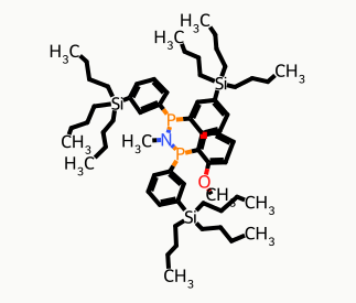 CCCC[Si](CCCC)(CCCC)c1cccc(P(c2cccc([Si](CCCC)(CCCC)CCCC)c2)N(C)P(c2cccc([Si](CCCC)(CCCC)CCCC)c2)c2ccccc2OC)c1